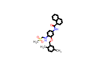 Cc1ccc(C)c(COc2cc(NC(=O)c3cccc4ccccc34)ccc2NCS(C)(=O)=O)c1